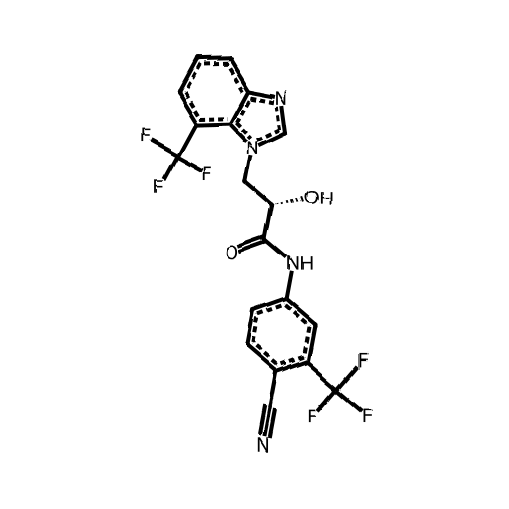 N#Cc1ccc(NC(=O)[C@@H](O)Cn2cnc3cccc(C(F)(F)F)c32)cc1C(F)(F)F